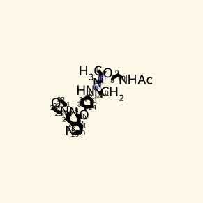 C=N/C(=N\C=C(/C)OCCNC(C)=O)N[C@H]1CC[C@@H](Oc2nc(N3CCOCC3)cc3ncccc23)CC1